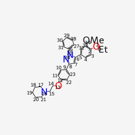 CCOc1ccc(-c2cc(-c3ccc(OCCN4CCCCC4)cc3)nn2-c2ccccc2)cc1OC